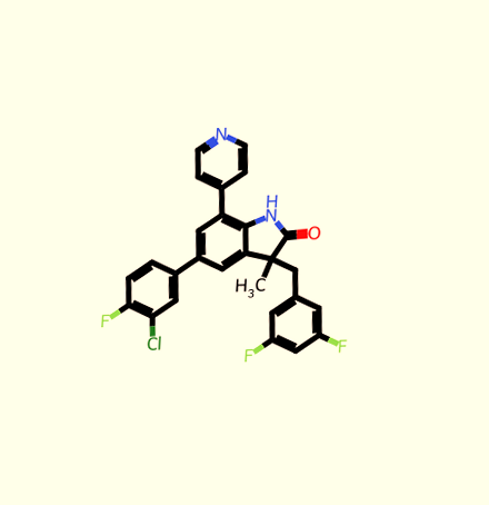 CC1(Cc2cc(F)cc(F)c2)C(=O)Nc2c(-c3ccncc3)cc(-c3ccc(F)c(Cl)c3)cc21